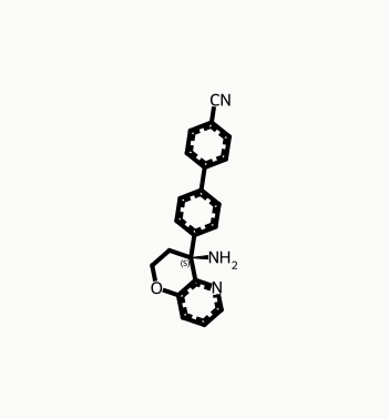 N#Cc1ccc(-c2ccc([C@@]3(N)CCOc4cccnc43)cc2)cc1